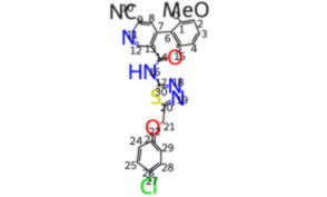 COc1ccccc1-c1cc(C#N)ncc1C(=O)Nc1nnc(COc2ccc(Cl)cc2)s1